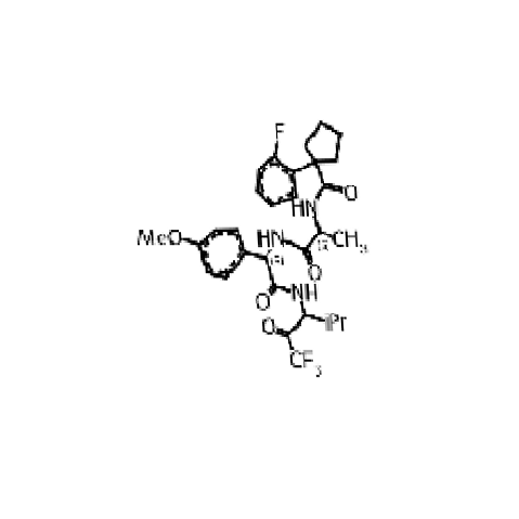 COc1ccc([C@H](NC(=O)[C@H](C)NC(=O)C2(c3ccccc3F)CCCC2)C(=O)NC(C(=O)C(F)(F)F)C(C)C)cc1